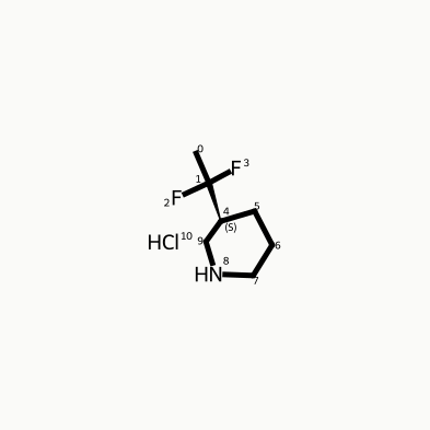 CC(F)(F)[C@H]1CCCNC1.Cl